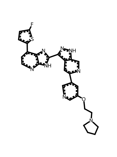 Fc1ccc(-c2ccnc3[nH]c(-c4n[nH]c5cnc(-c6cncc(OCCN7CCCC7)c6)cc45)nc23)s1